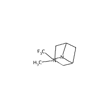 CN1CC2CC(C1)N2CC(F)(F)F